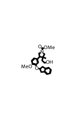 COC(=O)N1CC(c2ccc(OC)c(OC3Cc4ccccc4C3)c2)C(C)(CCO)C1